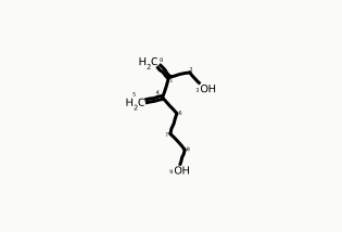 C=C(CO)C(=C)CCCO